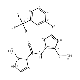 CN1NC=CC1C(=O)Nc1sc(Cc2cccc(C(F)(F)F)c2)nc1CO